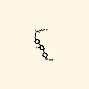 CCCCCC1CCC(c2ccc(-c3ccc(CCCN(C)SOC)cc3)c(F)c2)CC1